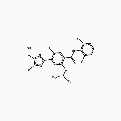 CCn1cc(-c2cc(OC(C)C(F)(F)F)c(C(=O)Nc3c(F)cccc3Cl)cc2F)nc1CO